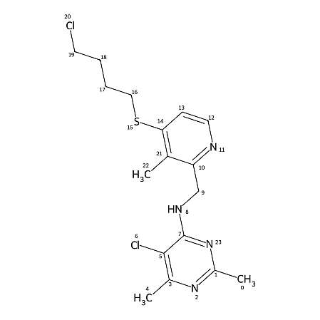 Cc1nc(C)c(Cl)c(NCc2nccc(SCCCCCl)c2C)n1